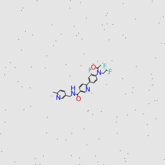 CC(=O)N(CC(F)F)c1ccc(-c2ccc(C(=O)NCc3ccc(C)nc3)cn2)cc1F